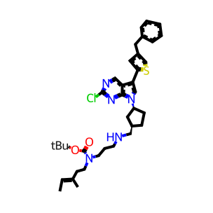 C/C=C(\C)CCN(CCCNC[C@@H]1CC[C@H](n2cc(-c3cc(Cc4ccccc4)cs3)c3cnc(Cl)nc32)C1)C(=O)OC(C)(C)C